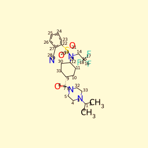 CC(C)N1CCN(C(=O)[C@H]2CC[C@H](N(CC(F)(F)F)S(=O)(=O)c3ccccc3C#N)CC2)CC1